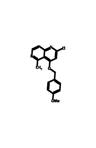 COc1ccc(COc2cc(Cl)nc3ccnc(C)c23)cc1